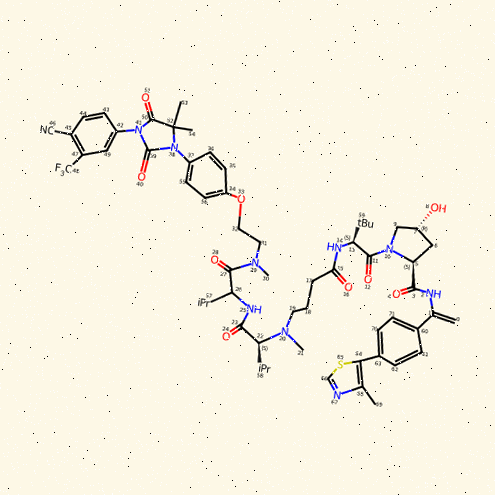 C=C(NC(=O)[C@@H]1C[C@@H](O)CN1C(=O)[C@@H](NC(=O)CCCN(C)[C@H](C(=O)NC(C(=O)N(C)CCOc1ccc(N2C(=O)N(c3ccc(C#N)c(C(F)(F)F)c3)C(=O)C2(C)C)cc1)C(C)C)C(C)C)C(C)(C)C)c1ccc(-c2scnc2C)cc1